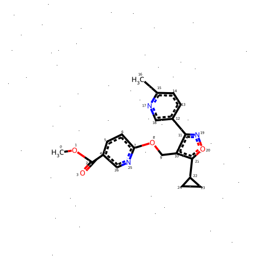 COC(=O)c1ccc(OCc2c(-c3ccc(C)nc3)noc2C2CC2)nc1